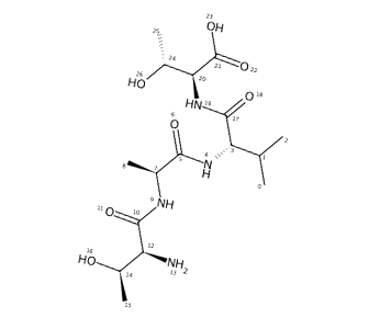 CC(C)[C@H](NC(=O)[C@H](C)NC(=O)[C@@H](N)[C@@H](C)O)C(=O)N[C@H](C(=O)O)[C@@H](C)O